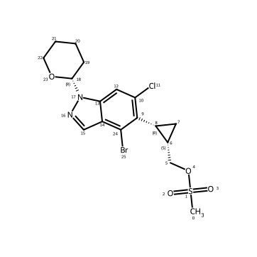 CS(=O)(=O)OC[C@H]1C[C@H]1c1c(Cl)cc2c(cnn2[C@H]2CCCCO2)c1Br